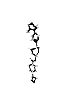 O=C(CN1CCN(c2cnc(-c3ccccc3Cl)cn2)CC1)N1CCN(C2CCC2)CC1